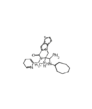 CNC1(C(P)NC2CCCCCC2)Cn2c(cc3sccc32)C(=O)N1CC1=CCCC=N1